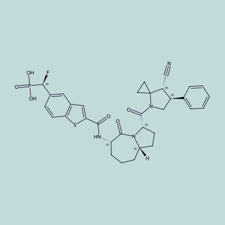 N#C[C@@H]1[C@@H](c2ccccc2)CN(C(=O)[C@@H]2CC[C@@H]3CCC[C@H](NC(=O)c4cc5cc([C@H](F)P(=O)(O)O)ccc5s4)C(=O)N32)C12CC2